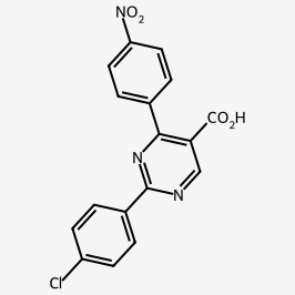 O=C(O)c1cnc(-c2ccc(Cl)cc2)nc1-c1ccc([N+](=O)[O-])cc1